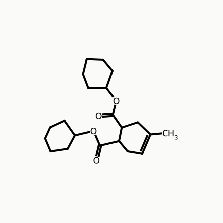 CC1=CCC(C(=O)OC2CCCCC2)C(C(=O)OC2CCCCC2)C1